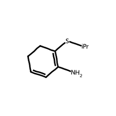 CC(C)SC1=C(N)C=CCC1